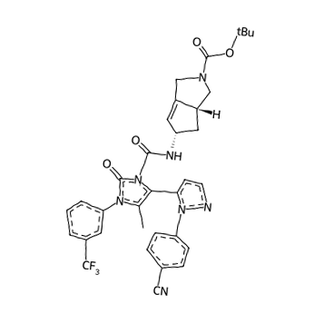 Cc1c(-c2ccnn2-c2ccc(C#N)cc2)n(C(=O)N[C@@H]2C=C3CN(C(=O)OC(C)(C)C)C[C@@H]3C2)c(=O)n1-c1cccc(C(F)(F)F)c1